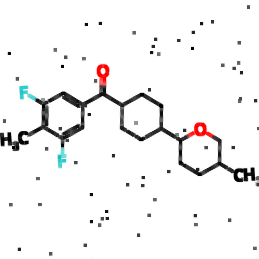 Cc1c(F)cc(C(=O)C2CCC(C3CCC(C)CO3)CC2)cc1F